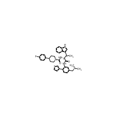 C[C@H](c1c[nH]c2ccccc12)[C@@H](NC(=O)N1CCC(c2ccc(F)cc2)CC1)C(=O)Nc1cc(CN(C)C)ccc1-c1ccsc1